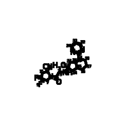 CC1(NCC(=O)N2CC(F)(F)C[C@H]2C#N)CC2CCCN(c3ncccn3)C2C1